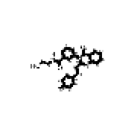 O=C(NCCO)c1cccc(-n2c(/C=C/c3ccc(F)cc3)nc3ccccc3c2=O)c1